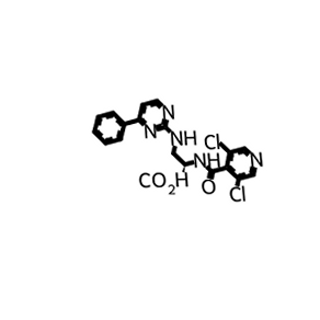 O=C(N[C@@H](CNc1nccc(-c2ccccc2)n1)C(=O)O)c1c(Cl)cncc1Cl